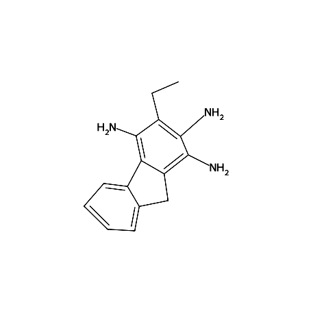 CCc1c(N)c(N)c2c(c1N)-c1ccccc1C2